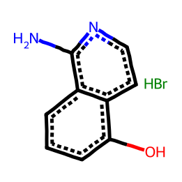 Br.Nc1nccc2c(O)cccc12